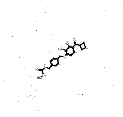 CC(C)(C)OC(=O)NCc1ccc(COc2ccc(C(=O)C3CCC3)c(O)c2C(F)(F)F)cc1